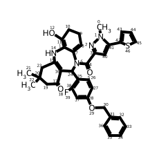 Cn1nc(C(=O)N2C3=CCCC(O)=C3NC3=C(C(=O)CC(C)(C)C3)C2c2ccc(OCc3ccccc3)cc2F)cc1-c1cccs1